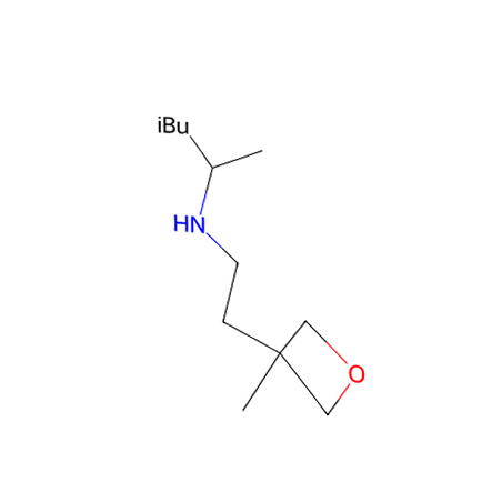 CCC(C)C(C)NCCC1(C)COC1